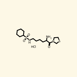 Cl.NC(CCCCNS(=O)(=O)C1CCCCC1)C(=O)N1CCSC1